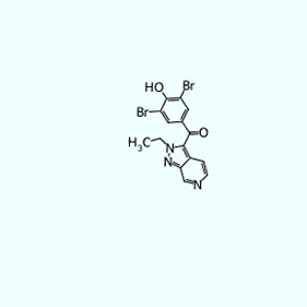 CCn1nc2cnccc2c1C(=O)c1cc(Br)c(O)c(Br)c1